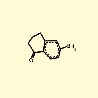 Bc1ccc2c(c1)CCCC2=O